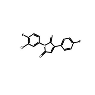 O=C1C=C(c2ccc(F)cc2)C(=O)N1c1ccc(F)c(Cl)c1